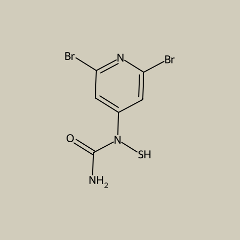 NC(=O)N(S)c1cc(Br)nc(Br)c1